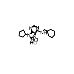 Cl.Cl.c1nc(NCC2CCCCC2)c2ncn(C3CCCC3)c2n1